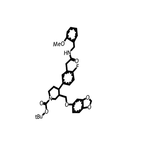 COc1ccccc1CNC(=O)Cc1cc(C2CCN(C(=O)OC(C)(C)C)CC2COc2ccc3c(c2)OCO3)ccc1F